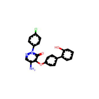 Nc1cnn(-c2ccc(Cl)cc2)c(=O)c1Oc1ccc(-c2ccccc2O)cc1